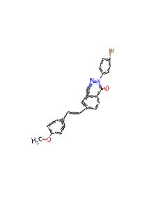 COc1ccc(C=Cc2ccc3c(=O)n(-c4ccc(Br)cc4)ncc3c2)cc1